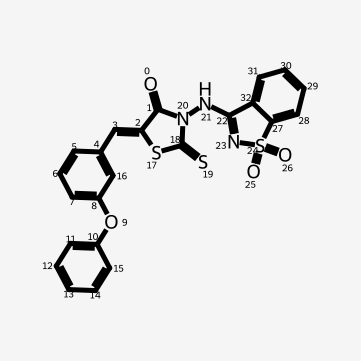 O=C1C(=Cc2cccc(Oc3ccccc3)c2)SC(=S)N1NC1=NS(=O)(=O)c2ccccc21